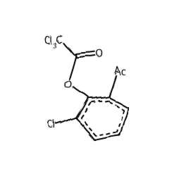 CC(=O)c1cccc(Cl)c1OC(=O)C(Cl)(Cl)Cl